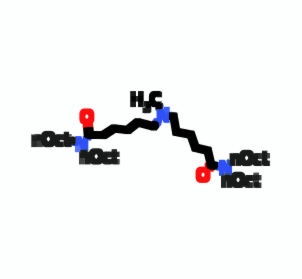 CCCCCCCCN(CCCCCCCC)C(=O)CCCCCN(C)CCCCCC(=O)N(CCCCCCCC)CCCCCCCC